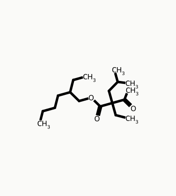 CCCCC(CC)COC(=O)C(CC)(CC(C)C)C(C)=O